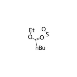 CCCCC(=O)OCC.O=S